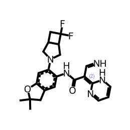 CC1(C)Cc2cc(NC(=O)/C(C=N)=C3\N=CC=CN3)c(N3CC4CC(F)(F)C4C3)cc2O1